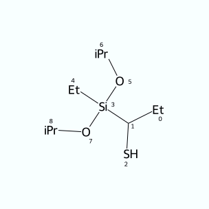 CCC(S)[Si](CC)(OC(C)C)OC(C)C